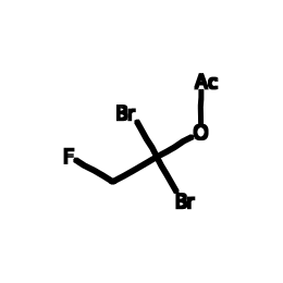 CC(=O)OC(Br)(Br)CF